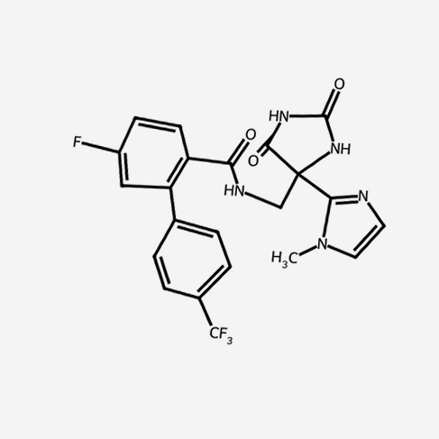 Cn1ccnc1C1(CNC(=O)c2ccc(F)cc2-c2ccc(C(F)(F)F)cc2)NC(=O)NC1=O